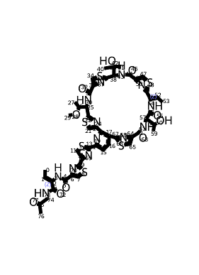 C/C=C(\NC(=O)c1csc(-c2csc(-c3ccc4c(n3)-c3csc(n3)C(C(C)OC)NC(=O)c3csc(n3)C(C(C)(C)O)NC(=O)c3csc(n3)/C(=C/C)NC(=O)C(C(C)O)NC(=O)c3csc-4n3)n2)n1)C(=O)NCC(C)=O